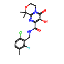 Cc1ccc(Cl)c(CNC(=O)c2nc3n(c(=O)c2O)CCOC3(C)C)c1F